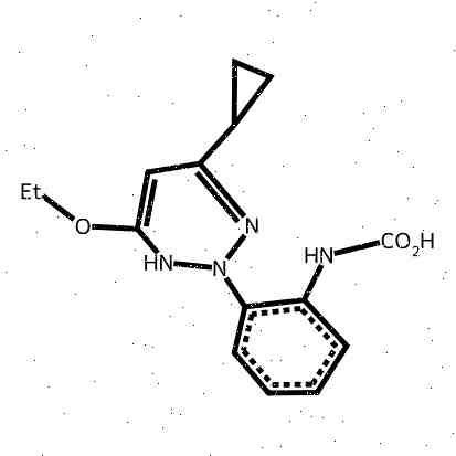 CCOC1=CC(C2CC2)=NN(c2ccccc2NC(=O)O)N1